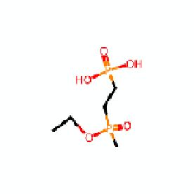 CCOP(C)(=O)CCP(=O)(O)O